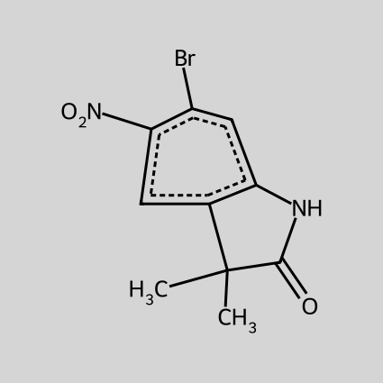 CC1(C)C(=O)Nc2cc(Br)c([N+](=O)[O-])cc21